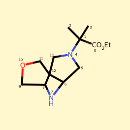 CCOC(=O)C(C)(C)N1CC2NC3COCC32C1